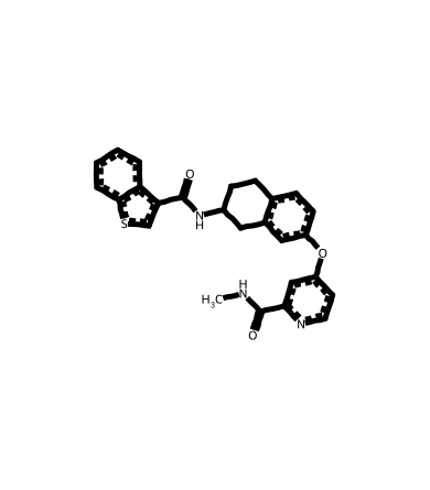 CNC(=O)c1cc(Oc2ccc3c(c2)CC(NC(=O)c2csc4ccccc24)CC3)ccn1